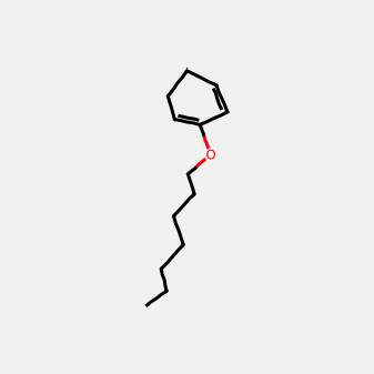 CCCCCCCOC1=CC[CH]C=C1